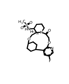 CS(=O)(=O)NC1CCCN2C(=O)COc3ncc(F)cc3C3CCC(CC3)OC[C@@H]12